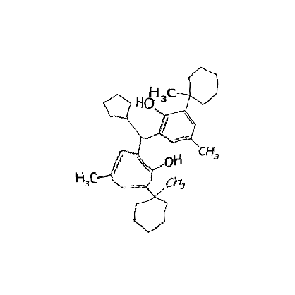 Cc1cc(C(c2cc(C)cc(C3(C)CCCCC3)c2O)C2CCCC2)c(O)c(C2(C)CCCCC2)c1